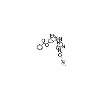 CCC1CC(OC(=O)c2ccccc2)CC1c1nnc2cnc3c(ccn3COCC[Si](C)(C)C)n12